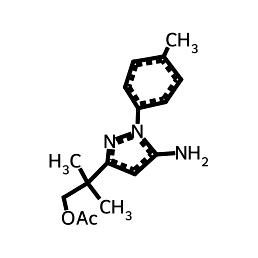 CC(=O)OCC(C)(C)c1cc(N)n(-c2ccc(C)cc2)n1